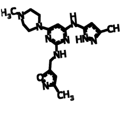 Cc1cc(Nc2cc(N3CCN(C)CC3)nc(NCc3cc(C)no3)n2)[nH]n1